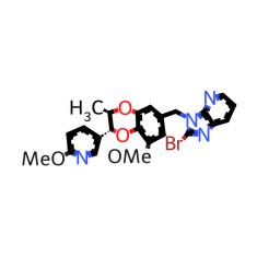 COc1ccc([C@H]2Oc3c(OC)cc(Cn4c(Br)nc5cccnc54)cc3O[C@@H]2C)cn1